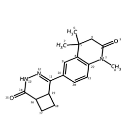 CN1C(=O)CC(C)(C)c2cc(C3=NNC(=O)C4CCC34)ccc21